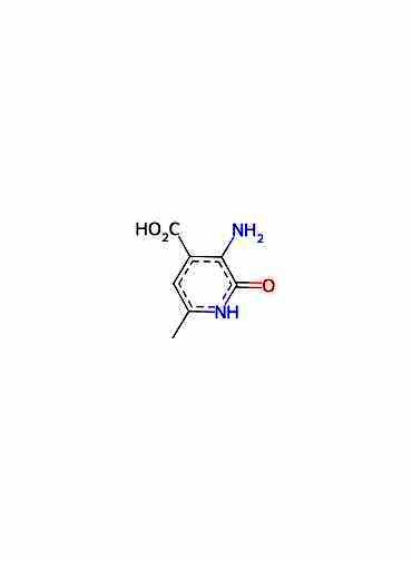 Cc1cc(C(=O)O)c(N)c(=O)[nH]1